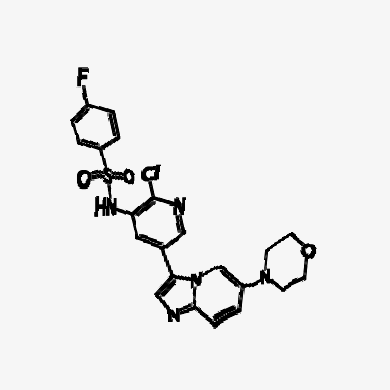 O=S(=O)(Nc1cc(-c2cnc3ccc(N4CCOCC4)cn23)cnc1Cl)c1ccc(F)cc1